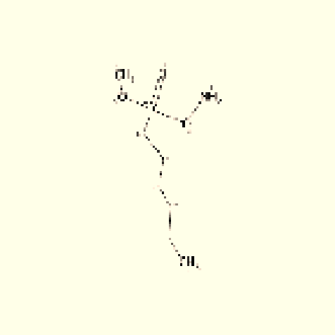 CCCCCCP(=O)(OC)ON